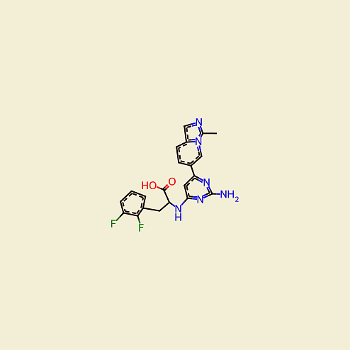 Cc1ncc2ccc(-c3cc(NC(Cc4cccc(F)c4F)C(=O)O)nc(N)n3)cn12